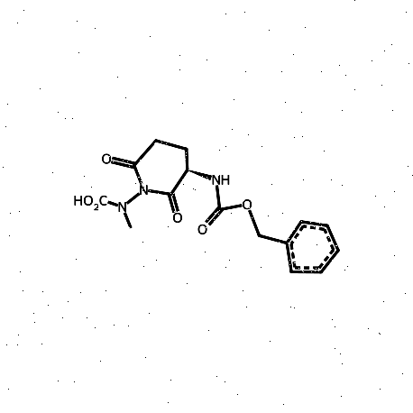 CN(C(=O)O)N1C(=O)CC[C@@H](NC(=O)OCc2ccccc2)C1=O